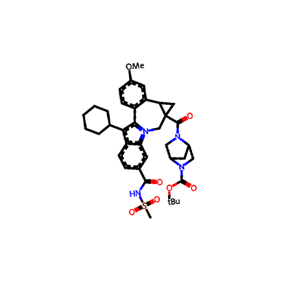 COc1ccc2c(c1)C1CC1(C(=O)N1CC3CC1CN3C(=O)OC(C)(C)C)Cn1c-2c(C2CCCCC2)c2ccc(C(=O)NS(C)(=O)=O)cc21